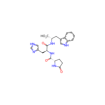 O=C1CC[C@@H](C(=O)N[C@@H](Cc2c[nH]cn2)C(=O)N[C@@H](Cc2c[nH]c3ccccc23)C(=O)O)N1